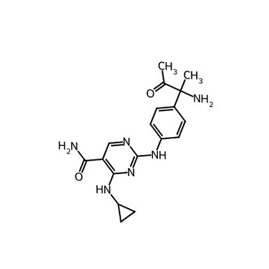 CC(=O)C(C)(N)c1ccc(Nc2ncc(C(N)=O)c(NC3CC3)n2)cc1